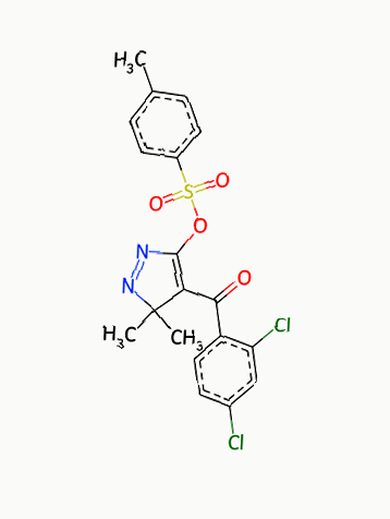 Cc1ccc(S(=O)(=O)OC2=C(C(=O)c3ccc(Cl)cc3Cl)C(C)(C)N=N2)cc1